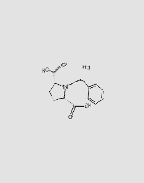 Cl.O=C(O)[C@H]1CC[C@@H](C(=O)O)N1Cc1ccccc1